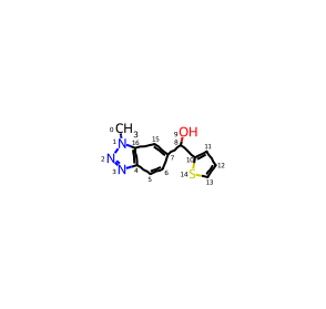 Cn1nnc2ccc(C(O)c3cccs3)cc21